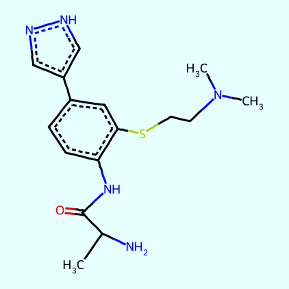 CC(N)C(=O)Nc1ccc(-c2cn[nH]c2)cc1SCCN(C)C